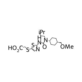 COC[C@H]1CC[C@H](N(CCC(C)C)C(=O)Nc2ncc(SCC(=O)O)s2)CC1